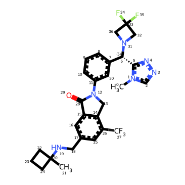 Cn1cnnc1[C@H](c1cccc(N2Cc3c(cc(CNC4(C)CCC4)cc3C(F)(F)F)C2=O)c1)N1CC(F)(F)C1